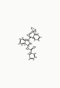 O=C(Oc1nn(C(=O)c2ccccc2C(F)(F)F)c2ccccc12)c1ccccc1